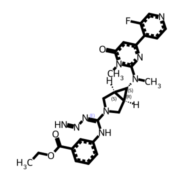 CCOC(=O)c1cccc(N/C(=N\N=N)N2C[C@@H]3[C@H](C2)[C@H]3N(C)c2nc(-c3ccncc3F)cc(=O)n2C)c1